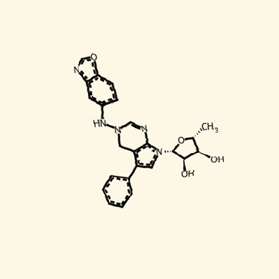 C[C@H]1O[C@@H](n2cc(-c3ccccc3)c3c2N=CN(Nc2ccc4ocnc4c2)C3)[C@H](O)[C@@H]1O